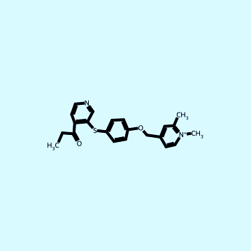 CCC(=O)c1ccncc1Sc1ccc(OCc2cc[n+](C)c(C)c2)cc1